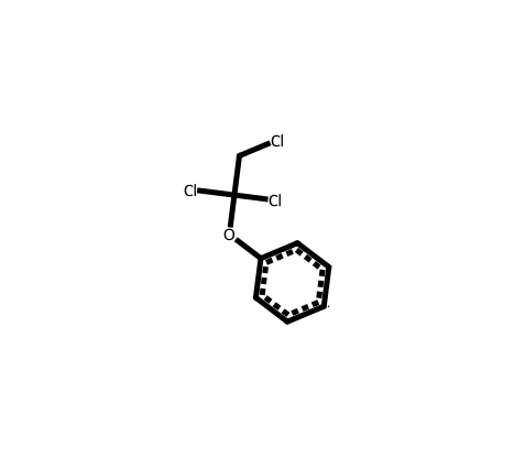 ClCC(Cl)(Cl)Oc1cc[c]cc1